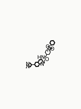 Cn1cc(-c2ccc3nnc(NC(=O)C4CCN(S(=O)(=O)c5ccccc5)CC4)cc3c2)cn1